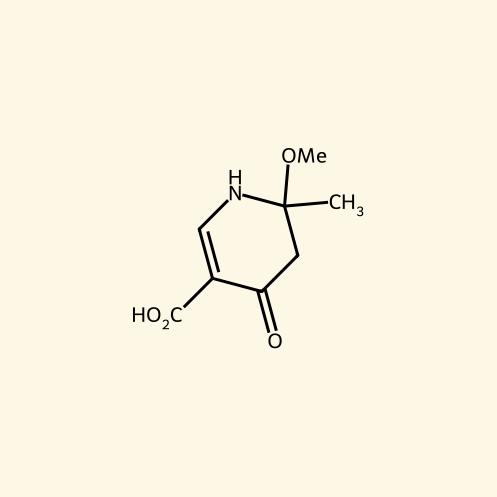 COC1(C)CC(=O)C(C(=O)O)=CN1